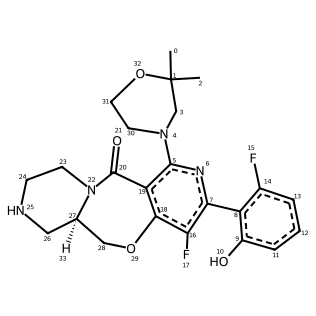 CC1(C)CN(c2nc(-c3c(O)cccc3F)c(F)c3c2C(=O)N2CCNC[C@@H]2CO3)CCO1